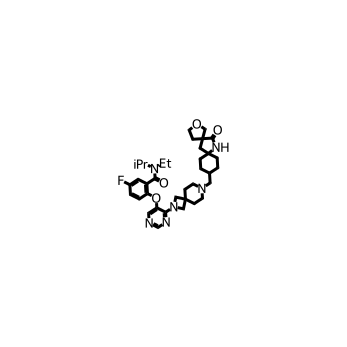 CCN(C(=O)c1cc(F)ccc1Oc1cncnc1N1CC2(CCN(CC3CCC4(CC3)CC3(CCOC3)C(=O)N4)CC2)C1)C(C)C